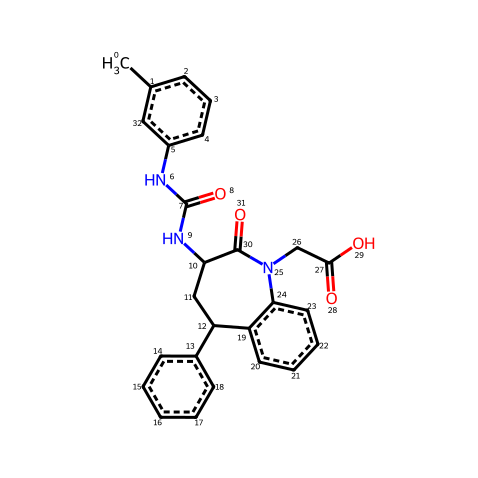 Cc1cccc(NC(=O)NC2CC(c3ccccc3)c3ccccc3N(CC(=O)O)C2=O)c1